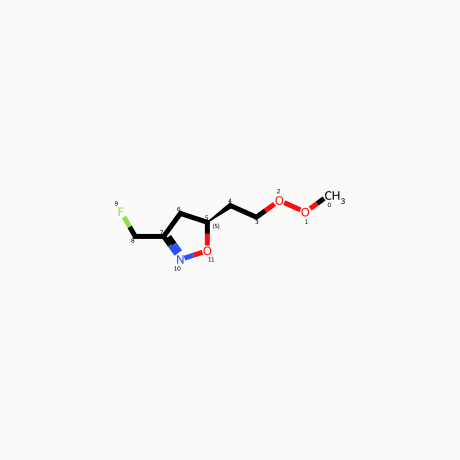 COOCC[C@@H]1CC(CF)=NO1